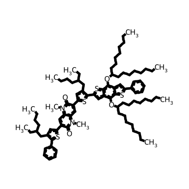 CCCCCCCCC(CCCCCCCC)Oc1c2cc(-c3sc(-c4cc5c(cc(-c6cc(CC(CC)CCCC)c(-c7ccccc7)s6)c(=O)n5C)n(C)c4=O)cc3CC(CC)CCCC)sc2c(OC(CCCCCCCC)CCCCCCCC)c2cc(-c3ccccc3)sc12